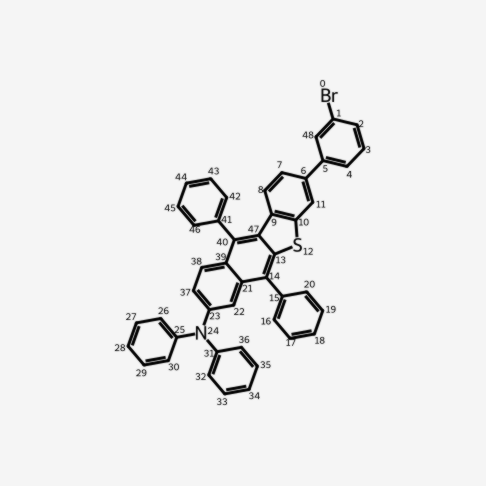 Brc1cccc(-c2ccc3c(c2)sc2c(-c4ccccc4)c4cc(N(c5ccccc5)c5ccccc5)ccc4c(-c4ccccc4)c23)c1